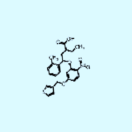 CCC(CC(Oc1cc(OCc2ccsc2)ccc1[N+](=O)[O-])c1ccccc1C)C(=O)O